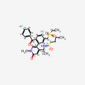 CCCC[S@+]([O-])N[C@@H](C)c1cc(=O)n(C)cc1-c1cc(CS(=O)(=O)CC)c(F)cc1C(=O)c1ccc(F)cc1